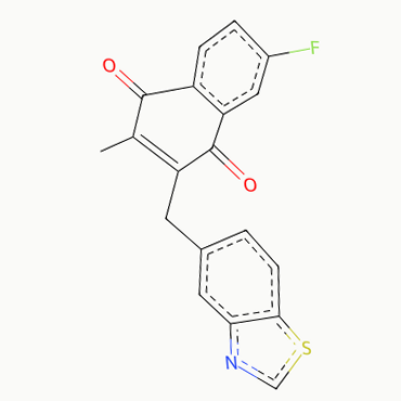 CC1=C(Cc2ccc3scnc3c2)C(=O)c2cc(F)ccc2C1=O